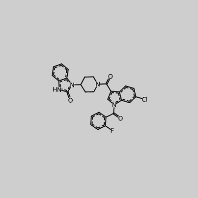 O=C(c1cn(C(=O)c2ccccc2F)c2cc(Cl)ccc12)N1CCC(n2c(=O)[nH]c3ccccc32)CC1